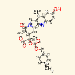 CCc1c2c(nc3ccc(O)cc13)-c1cc3c(c(=O)n1C2)COC(=O)[C@@]3(CC)OC(=O)OCc1ccc(C)cc1